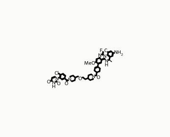 COc1cc2nc(C)nc(N[C@H](C)c3cc(N)cc(C(F)(F)F)c3)c2cc1C1=CCC(C(=O)N2CCC(CCOCC3CCN(C(=O)c4ccc(Cl)c(-n5ccc(=O)[nH]c5=O)c4)CC3)CC2)CC1